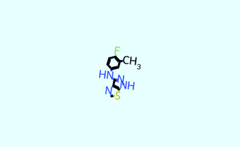 Cc1cc(Nc2n[nH]c3scnc23)ccc1F